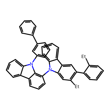 CCc1ccccc1-c1cc2c3ccccc3n(-c3cccc4c5ccccc5n(-c5cccc(-c6ccccc6)c5)c34)c2cc1CC